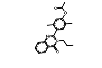 CCCn1c(-c2cc(C)c(OC(C)=O)cc2C)nc2ccccc2c1=O